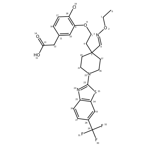 CCO/N=C/C1(CCOc2cc(CC(=O)O)ccc2Cl)CCN(c2nc3ccc(C(F)(F)F)cc3s2)CC1